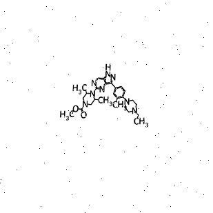 CCN1CCN(c2ccc(-c3n[nH]c4cnc(N5C(C)CN(C(=O)OC)CC5C)nc34)cc2C)CC1